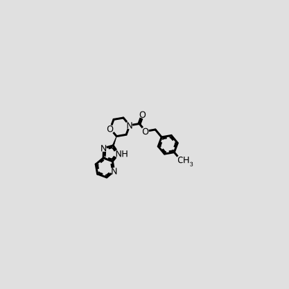 Cc1ccc(COC(=O)N2CCO[C@H](c3nc4cccnc4[nH]3)C2)cc1